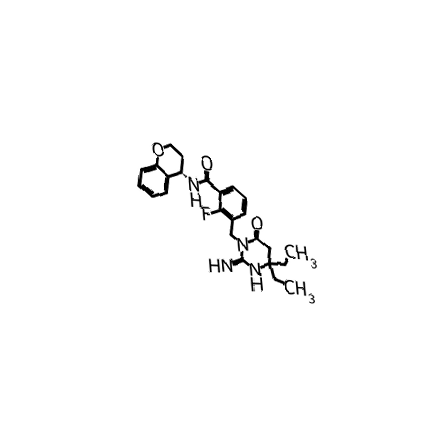 CCC1(CC)CC(=O)N(Cc2cccc(C(=O)N[C@H]3CCOc4ccccc43)c2F)C(=N)N1